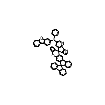 c1ccc(N(c2cnc3c(c2)C2(c4ccccc4Oc4cc5c(cc42)-c2ccccc2C52c4ccccc4-c4ccccc42)c2cccnc2-3)c2ccc3c(c2)oc2ccccc23)cc1